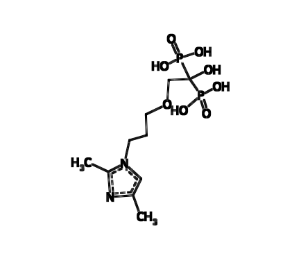 Cc1cn(CCCOCC(O)(P(=O)(O)O)P(=O)(O)O)c(C)n1